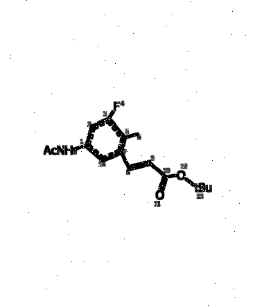 CC(=O)Nc1cc(F)c(C)c(/C=C/C(=O)OC(C)(C)C)c1